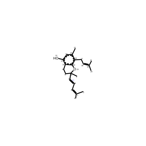 CC(C)=C/C=C/C1(C)CCc2c(O)cc(C)c(CC=C(C)C)c2O1